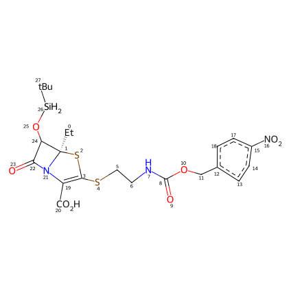 CC[C@]12SC(SCCNC(=O)OCc3ccc([N+](=O)[O-])cc3)=C(C(=O)O)N1C(=O)C2O[SiH2]C(C)(C)C